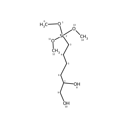 CO[Si](CCCCC(O)CO)(OC)OC